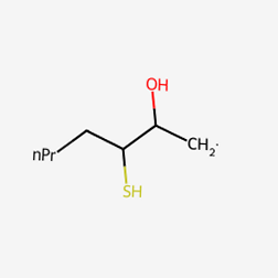 [CH2]C(O)C(S)CCCC